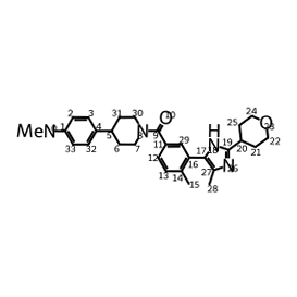 CNc1ccc(C2CCN(C(=O)c3ccc(C)c(-c4[nH]c(C5CCOCC5)nc4C)c3)CC2)cc1